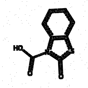 O=C(O)n1c(=O)sc2ccccc21